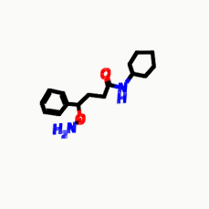 NOC(CCC(=O)NC1CCCCC1)c1ccccc1